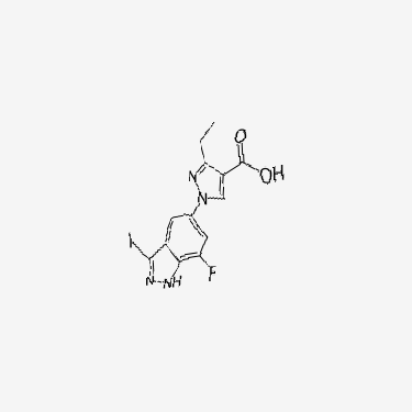 CCc1nn(-c2cc(F)c3[nH]nc(I)c3c2)cc1C(=O)O